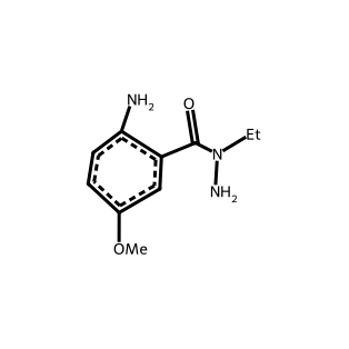 CCN(N)C(=O)c1cc(OC)ccc1N